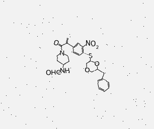 C=C(C(=O)N1CCC(NC=O)CC1)c1ccc(SC2COCC(Cc3ccccc3)O2)c([N+](=O)[O-])c1